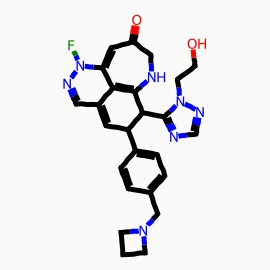 O=C1C=C2C3=C(NC1)C(c1ncnn1CCO)C(c1ccc(CN4CCC4)cc1)C=C3C=NN2F